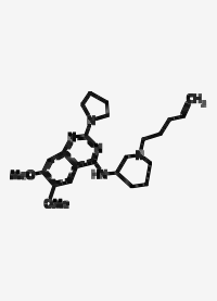 C=CCCCN1CCCC(Nc2nc(N3CCCC3)nc3cc(OC)c(OC)cc23)C1